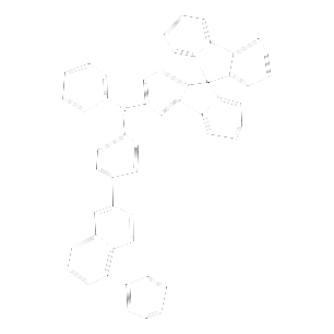 c1ccc(-c2cccc3cc(-c4ccc(N(c5ccccc5)c5ccc6c(c5)-c5ccccc5C65c6ccccc6-c6ccccc65)cc4)ccc23)cc1